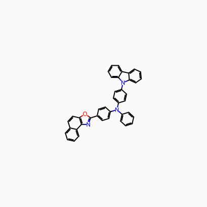 c1ccc(N(c2ccc(-c3nc4c(ccc5ccccc54)o3)cc2)c2ccc(-n3c4ccccc4c4ccccc43)cc2)cc1